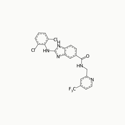 O=C(NCc1cc(C(F)(F)F)ccn1)c1ccc2[nH]c(Nc3c(Cl)cccc3Cl)nc2c1